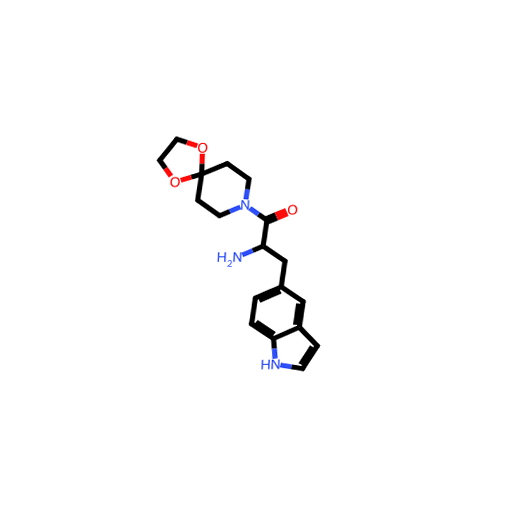 NC(Cc1ccc2[nH]ccc2c1)C(=O)N1CCC2(CC1)OCCO2